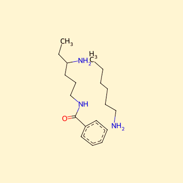 CCC(N)CCCNC(=O)c1ccccc1.CCCCCCN